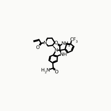 C=CC(=O)N1CCC[C@@H](N2c3ccc(C(N)=O)cc3NC2(C(N)=O)c2cccc(C(F)(F)F)c2)C1